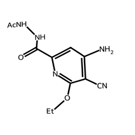 CCOc1nc(C(=O)NNC(C)=O)cc(N)c1C#N